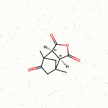 CC12CC(=O)C(C)(C1)[C@H]1C(=O)OC(=O)[C@H]12